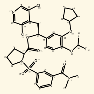 CN(C)C(=O)c1cccc(S(=O)(=O)N2CCC[C@H]2C(=O)O[C@@H](Cc2c(Cl)cncc2Cl)c2ccc(OC(F)F)c(OC3CCCC3)c2)c1